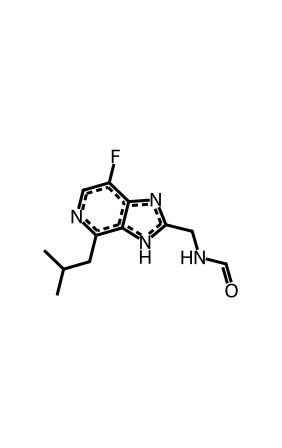 CC(C)Cc1ncc(F)c2nc(CNC=O)[nH]c12